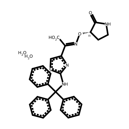 O.O.O=C(O)C(=NO[C@H]1CCNC1=O)c1csc(NC(c2ccccc2)(c2ccccc2)c2ccccc2)n1